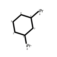 C[C](C)C1CCCC(C(C)C)C1